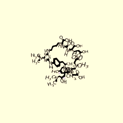 CCN(C)C/C(O)=C\C(C)(/C=C(/O)CN(C)C(C)Cc1ccc(Nc2nc(NCCCC[C@H](NC(=O)N[C@@H](CCC(=O)O)C(=O)O)C(=O)O)nc(N(C)C)n2)cc1)C(C)(C)N(CCN(C)CC(=O)O)CC(=O)O